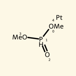 CO[PH](=O)OC.[Pt]